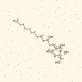 CCCCCCCCOCC(O)CO[C@H]1[C@@H](O)[C@H](O)[C@@H](CO)O[C@H]1O